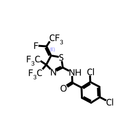 O=C(NC1=NC(C(F)(F)F)(C(F)(F)F)/C(=C(\F)C(F)(F)F)S1)c1ccc(Cl)cc1Cl